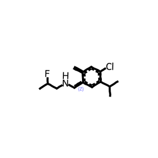 C=c1cc(Cl)c(C(C)C)c/c1=C/NCC(C)F